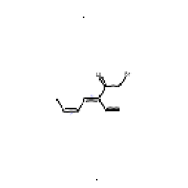 C=C/C(=C\C=C/C)C(=O)CBr